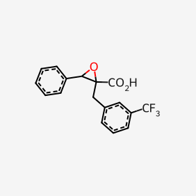 O=C(O)C1(Cc2cccc(C(F)(F)F)c2)OC1c1ccccc1